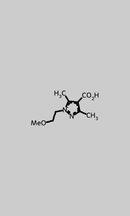 COCCn1nc(C)c(C(=O)O)c1C